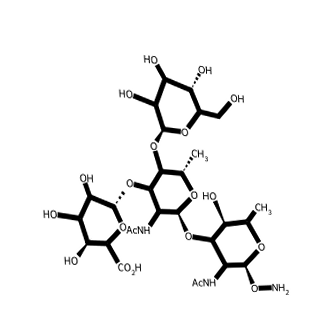 CC(=O)NC1C(O[C@@H]2OC(C(=O)O)[C@@H](O)C(O)C2O)C(O[C@@H]2OC(CO)[C@@H](O)C(O)C2O)[C@H](C)O[C@H]1OC1C(NC(C)=O)[C@H](ON)OC(C)[C@@H]1O